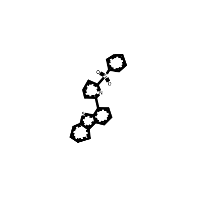 O=S(=O)(c1ccccc1)c1cccc(-c2cccc3c2sc2ccccc23)n1